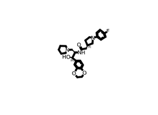 O=C(C[C@H]1CCN(c2ccc(F)cc2)C1)N[C@H](CN1CCCCC1)[C@H](O)c1ccc2c(c1)OCCO2